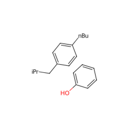 CCCCc1ccc(CC(C)C)cc1.Oc1ccccc1